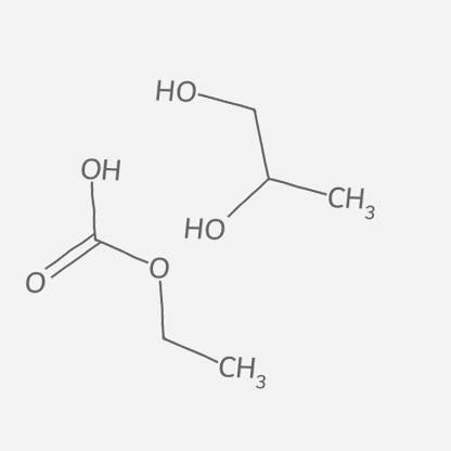 CC(O)CO.CCOC(=O)O